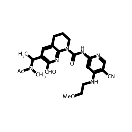 COCCNc1cc(NC(=O)N2CCCc3cc(C(C)N(C)C(C)=O)c(C=O)nc32)ncc1C#N